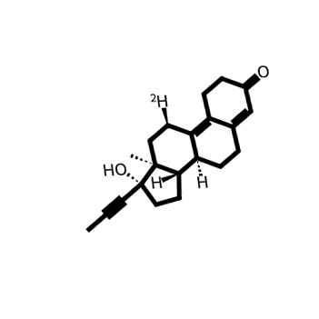 [2H][C@@H]1C[C@@]2(C)[C@@H](CC[C@@]2(O)C#CC)[C@@H]2CCC3=CC(=O)CCC3=C12